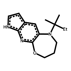 CCC(C)(C)N1CCCOc2nc3[nH]ccc3cc21